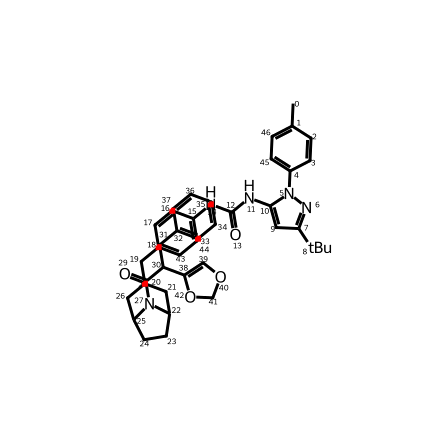 Cc1ccc(-n2nc(C(C)(C)C)cc2NC(=O)Nc2ccc(CC3CC4CCC(C3)N4C(=O)C(Cc3ccccc3)C3=COCO3)cc2)cc1